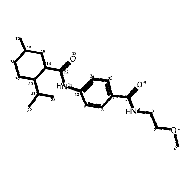 COCCNC(=O)c1ccc(NC(=O)C2CC(C)CCC2C(C)C)cc1